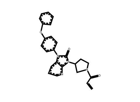 C=CC(=O)N1CCC(n2c(=O)n(-c3ccc(Oc4ccccc4)cc3)c3cccnc32)C1